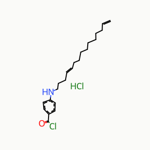 C=CCCCCCCCCC=CCCCNc1ccc(C(=O)Cl)cc1.Cl